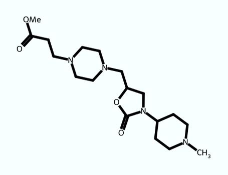 COC(=O)CCN1CCN(CC2CN(C3CCN(C)CC3)C(=O)O2)CC1